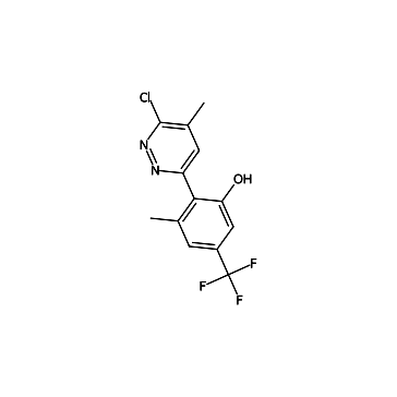 Cc1cc(-c2c(C)cc(C(F)(F)F)cc2O)nnc1Cl